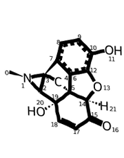 C[N@]1C2[C@@]13C[C@]14c5c3ccc(O)c5O[C@H]1C(=O)C=C[C@@]24O